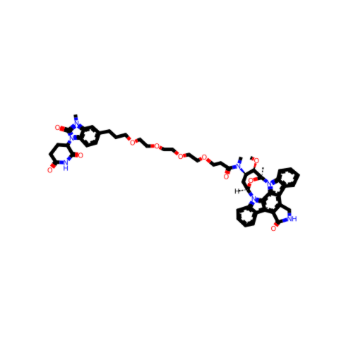 CO[C@@H]1[C@H](N(C)C(=O)CCOCCOCCOCCOCCCc2ccc3c(c2)n(C)c(=O)n3C2CCC(=O)NC2=O)C[C@H]2O[C@]1(C)n1c3ccccc3c3c4c(c5c6ccccc6n2c5c31)C(=O)NC4